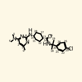 Cc1cc(N(C)C)nc(N[C@H]2CC[C@@H](C(=O)NC(C)(C)c3ccc(Cl)cc3)CC2)n1